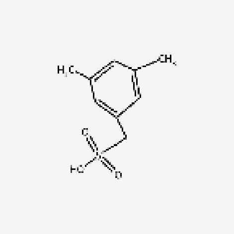 Cc1cc(C)cc(CS(=O)(=O)O)c1